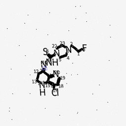 FCCN1CCN(C(=S)N/N=C2/CCNc3c(Cl)ccnc32)CC1